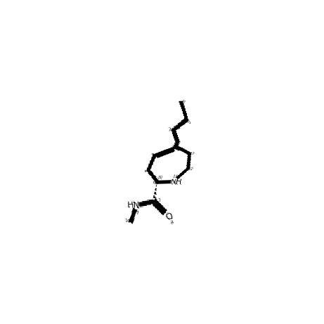 CCCC1=CC[C@@H](C(=O)NC)NCC1